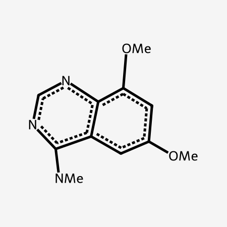 CNc1ncnc2c(OC)cc(OC)cc12